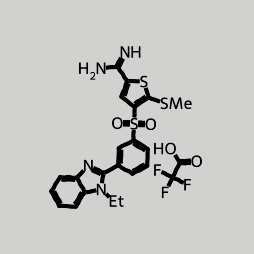 CCn1c(-c2cccc(S(=O)(=O)c3cc(C(=N)N)sc3SC)c2)nc2ccccc21.O=C(O)C(F)(F)F